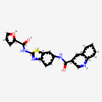 O=C(Nc1ccc2nc(NC(=O)c3ccco3)sc2c1)c1cnc2ccccc2c1